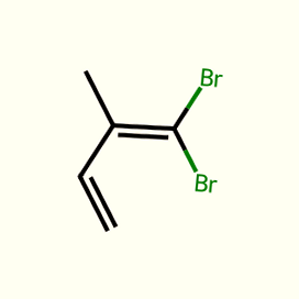 C=CC(C)=C(Br)Br